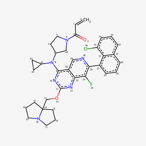 C=CC(=O)N1CCC(N(c2nc(OCC34CCCN3CCC4)nc3c(F)c(-c4cccc5cccc(Cl)c45)ncc23)C2CC2)C1